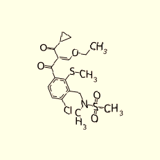 CCOC=C(C(=O)c1ccc(Cl)c(CN(C)S(C)(=O)=O)c1SC)C(=O)C1CC1